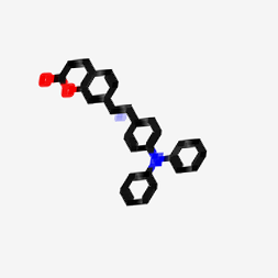 O=c1ccc2ccc(/C=C/c3ccc(N(c4ccccc4)c4ccccc4)cc3)cc2o1